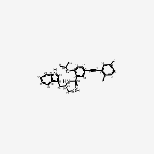 Cc1ccc(C)c(C#Cc2ccc(OC(C)C)c(C(=O)N[C@@H](CO)Cc3c[nH]c4ccccc34)c2)c1